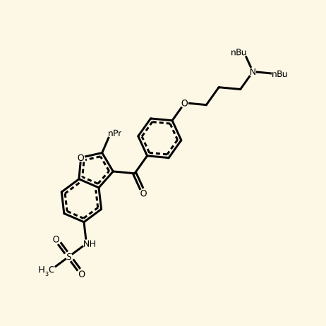 CCCCN(CCCC)CCCOc1ccc(C(=O)c2c(CCC)oc3ccc(NS(C)(=O)=O)cc23)cc1